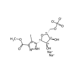 COC(=O)c1n[nH]c([C@@H]2O[C@H](COP(=O)([O-])[O-])[C@@H](O)[C@H]2O)c1I.[Na+].[Na+]